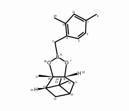 Cc1ccc(CB2O[C@@H]3CC4C[C@@H](C4(C)C)[C@]3(C)O2)c(C)c1